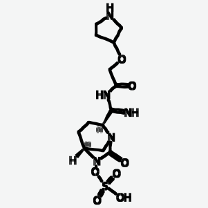 N=C(NC(=O)COC1CCNC1)[C@@H]1CC[C@@H]2CN1C(=O)N2OS(=O)(=O)O